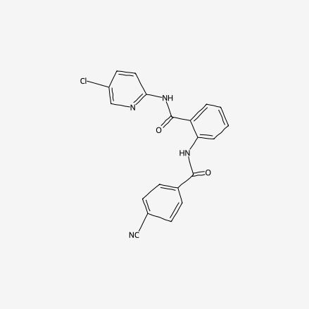 N#Cc1ccc(C(=O)Nc2ccccc2C(=O)Nc2ccc(Cl)cn2)cc1